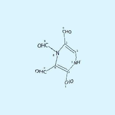 O=CC1=CNC(C=O)=C(C=O)N1C=O